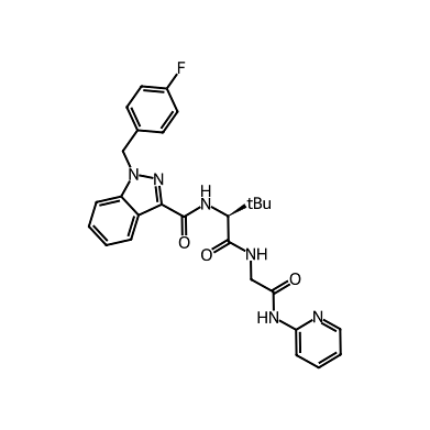 CC(C)(C)[C@H](NC(=O)c1nn(Cc2ccc(F)cc2)c2ccccc12)C(=O)NCC(=O)Nc1ccccn1